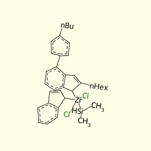 CCCCCCC1=Cc2c(-c3ccc(CCCC)cc3)cccc2[CH]1[Zr]([Cl])([Cl])([CH]1C=Cc2ccccc21)[SiH](C)C